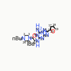 CCCCN1CCN(C(=O)[C@@H](Nc2nc(N)n3nc(-c4ccco4)nc3n2)C(C)CC)CC1